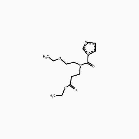 CCOCCN(CCC(=O)OCC)C(=O)n1ccnc1